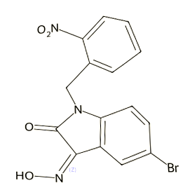 O=C1/C(=N\O)c2cc(Br)ccc2N1Cc1ccccc1[N+](=O)[O-]